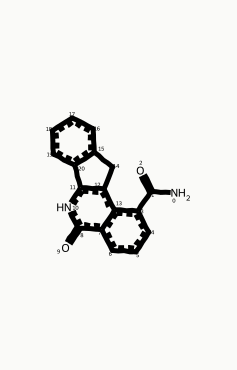 NC(=O)c1cccc2c(=O)[nH]c3c(c12)Cc1c[c]ccc1-3